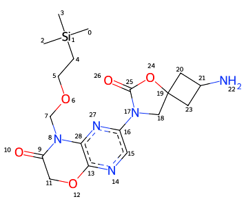 C[Si](C)(C)CCOCN1C(=O)COc2ncc(N3CC4(CC(N)C4)OC3=O)nc21